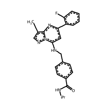 Cc1cnn2c(NCc3ccc(C(=O)NC(C)C)cc3)cc(-c3ccccc3F)nc12